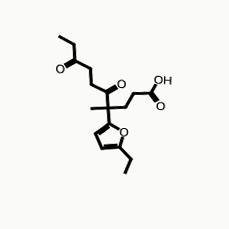 CCC(=O)CCC(=O)C(C)(CCC(=O)O)c1ccc(CC)o1